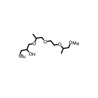 COCC(C)OCCOCC(C)OCC(O)CC(C)(C)C